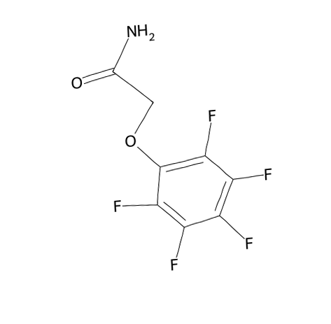 NC(=O)COc1c(F)c(F)c(F)c(F)c1F